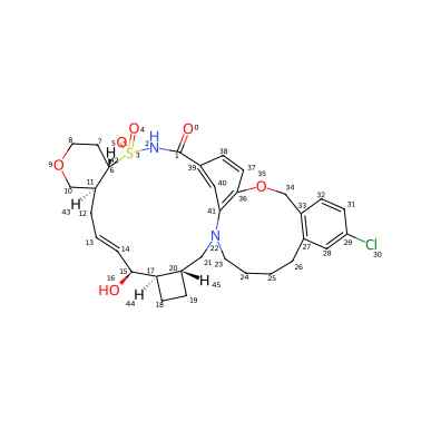 O=C1NS(=O)(=O)[C@H]2CCOC[C@@H]2C/C=C/[C@H](O)[C@@H]2CC[C@H]2CN2CCCCc3cc(Cl)ccc3COc3ccc1cc32